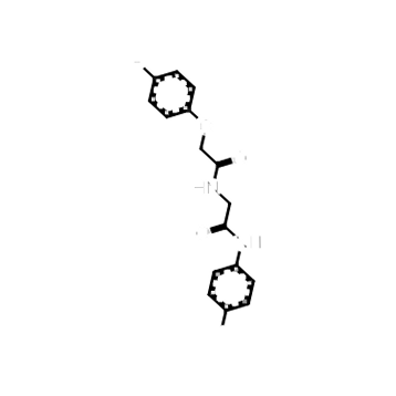 O=C(COc1ccc(F)cc1)NCC(=O)Nc1ccc(I)cc1